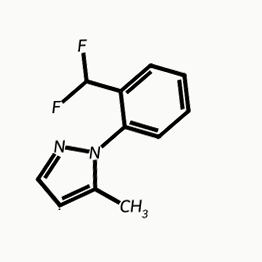 Cc1[c]cnn1-c1ccccc1C(F)F